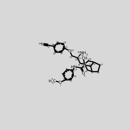 COc1ccc(NC(=O)N(C)C2C3CCC2CN(C[C@H](N)COc2ccc(C#N)cc2)C3)cc1